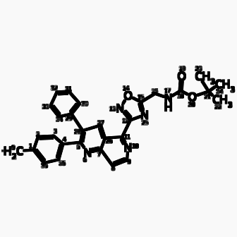 [CH2]c1ccc(-c2nc3ccnc(-c4noc(CNC(=O)OC(C)(C)C)n4)c3cc2-c2ccccc2)cc1